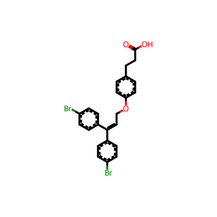 O=C(O)CCc1ccc(OCC=C(c2ccc(Br)cc2)c2ccc(Br)cc2)cc1